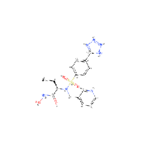 CC(C)C[C@H](C(=O)NO)N(Cc1cccnc1)S(=O)(=O)c1ccc(-c2nnn[nH]2)cc1